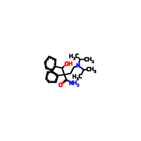 CC(C)N(CCC(C(N)=O)(c1ccccc1)C(O)c1ccccc1)C(C)C